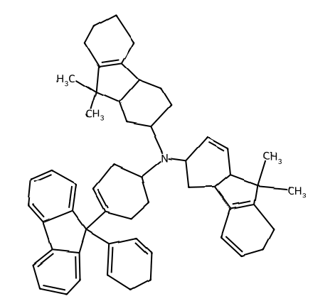 CC1(C)C2=C(C=CCC2)C2CC(N(C3CC=C(C4(C5=CCCC=C5)c5ccccc5-c5ccccc54)CC3)C3CCC4C5=C(CCCC5)C(C)(C)C4C3)C=CC21